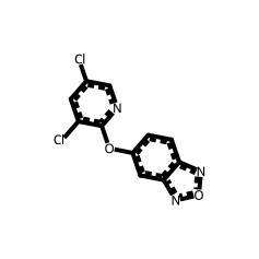 Clc1cnc(Oc2ccc3nonc3c2)c(Cl)c1